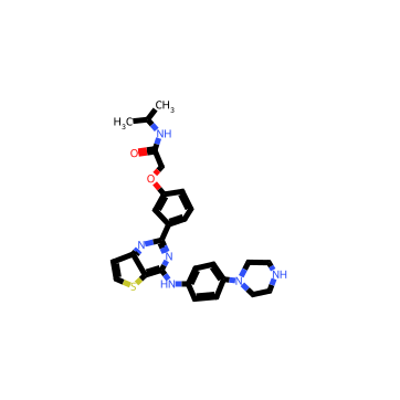 CC(C)NC(=O)COc1cccc(-c2nc(Nc3ccc(N4CCNCC4)cc3)c3sccc3n2)c1